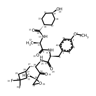 COc1ccc(C[C@H](NC(=O)[C@@H](C)NC(=O)[C@H]2CC[C@H](O)CC2)C(=O)N[C@@H](CC2CC(F)(F)C2)C(=O)[C@@]2(C)CO2)cc1